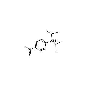 CC(C)[SiH](c1ccc([SiH](C)C)cc1)C(C)C